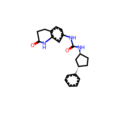 O=C1CCc2ccc(NC(=O)N[C@H]3CC[C@H](c4ccccc4)C3)cc2N1